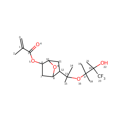 C=C(C)C(=O)OC1CC2OC1CC2C(C)(C)OC(C)(C)C(C)(O)C(F)(F)F